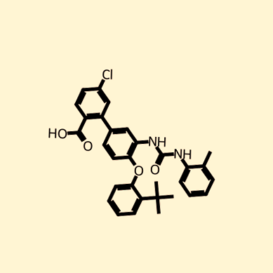 Cc1ccccc1NC(=O)Nc1cc(-c2cc(Cl)ccc2C(=O)O)ccc1Oc1ccccc1C(C)(C)C